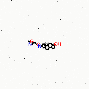 Cc1ncc(CCON=C2C=C3CCC4C5CCC(O)C5(C)CC[C@H]4C3(C)CC2)o1